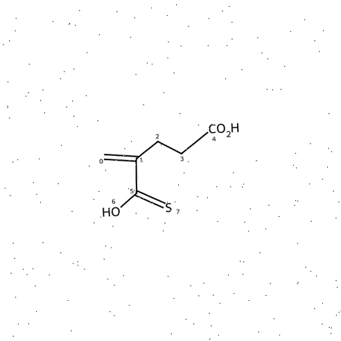 C=C(CCC(=O)O)C(O)=S